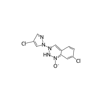 [O-][N+]1=c2cc(Cl)ccc2=CN(n2cc(Cl)cn2)N1